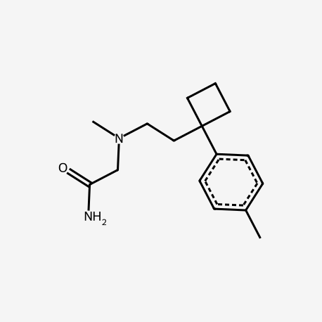 Cc1ccc(C2(CCN(C)CC(N)=O)CCC2)cc1